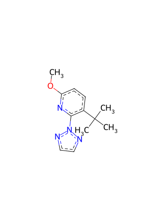 COc1ccc(C(C)(C)C)c(-n2nccn2)n1